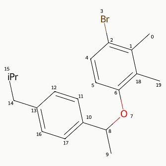 Cc1c(Br)ccc(OC(C)c2ccc(CC(C)C)cc2)c1C